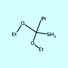 [CH2]C(C)C([SiH3])(OCC)OCC